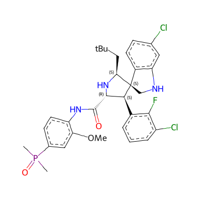 COc1cc(P(C)(C)=O)ccc1NC(=O)[C@@H]1N[C@@H](CC(C)(C)C)[C@@]2(CNc3cc(Cl)ccc32)[C@H]1c1cccc(Cl)c1F